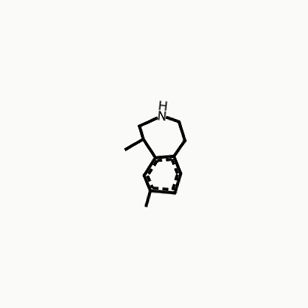 Cc1ccc2c(c1)C(C)CNCC2